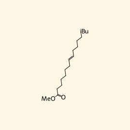 CCC(C)CCCCC=CCCCCCCC(=O)OC